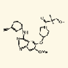 C#Cc1cccc(Nc2ncnc3cc(OC)c(OC4CCN(C(=O)C(C)(C)CO)CC4)cc23)c1